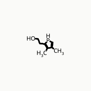 Cc1c[pH]c(CCO)c1C